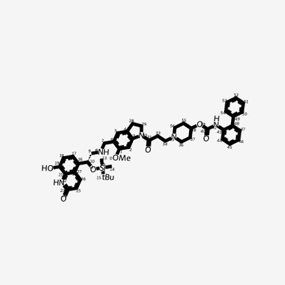 COc1cc2c(cc1CNC[C@H](O[Si](C)(C)C(C)(C)C)c1ccc(O)c3[nH]c(=O)ccc13)CCN2C(=O)CCN1CCC(OC(=O)Nc2ccccc2-c2ccccc2)CC1